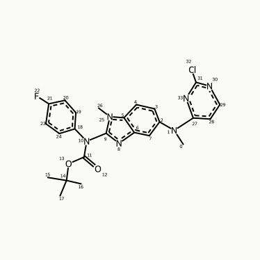 CN(c1ccc2c(c1)nc(N(C(=O)OC(C)(C)C)c1ccc(F)cc1)n2C)c1ccnc(Cl)n1